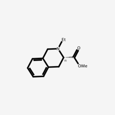 CCN1Cc2ccccc2C[C@H]1C(=O)OC